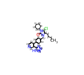 CCCCc1c(Cl)n(C2CCCCC2)c(=O)n1Cc1ccc(-c2ccncc2-c2nnn[nH]2)cc1